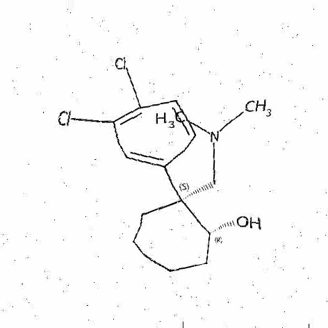 CN(C)C[C@@]1(c2ccc(Cl)c(Cl)c2)CCCC[C@H]1O